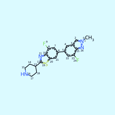 Cn1cc2cc(-c3cc(F)c4nc(C5CCNCC5)sc4c3)cc(F)c2n1